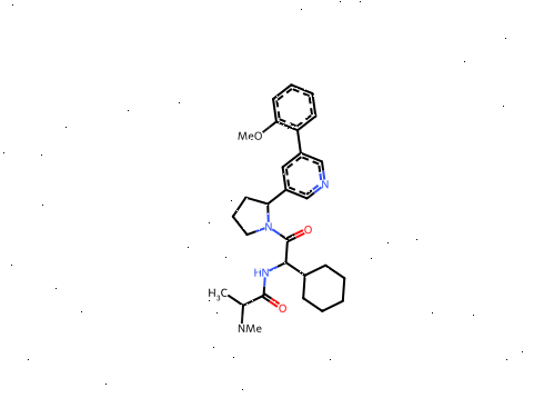 CNC(C)C(=O)NC(C(=O)N1CCCC1c1cncc(-c2ccccc2OC)c1)C1CCCCC1